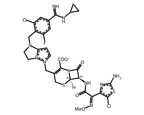 CO/N=C(\C(=O)N[C@@H]1C(=O)N2C(C(=O)[O-])=C(C[n+]3ccc4n3CCN4Cc3c(F)cc(C(=N)NC4CC4)cc3Cl)CS[C@H]12)c1nc(N)sc1Cl